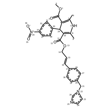 COC(=O)C1=C(C)NC(C)=C(C(=O)OCC=Cc2ccc(Cn3ccnc3)cc2)C1c1ccc([N+](=O)[O-])cc1